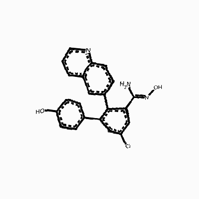 N/C(=N\O)c1cc(Cl)cc(-c2ccc(O)cc2)c1-c1ccc2ncccc2c1